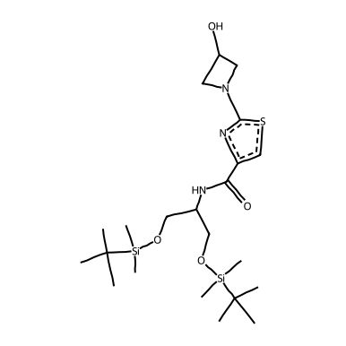 CC(C)(C)[Si](C)(C)OCC(CO[Si](C)(C)C(C)(C)C)NC(=O)c1csc(N2CC(O)C2)n1